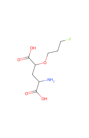 NC(CC(OCCCF)C(=O)O)C(=O)O